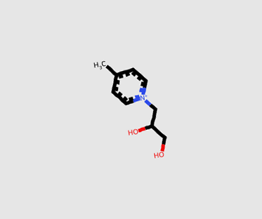 Cc1cc[n+](CC(O)CO)cc1